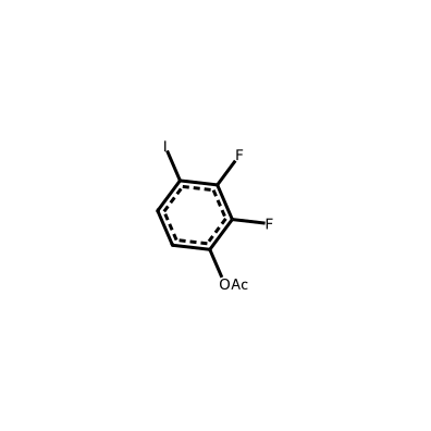 CC(=O)Oc1ccc(I)c(F)c1F